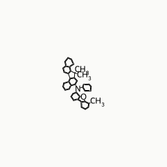 Cc1cccc2c1oc1c(N(c3ccccc3)c3cc4c(c5ccccc35)-c3ccc5ccccc5c3C4(C)C)cccc12